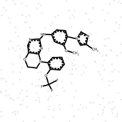 COc1cc(Nc2ncc3c(n2)N(c2ccccc2OC(F)(F)F)CCO3)ccc1-n1cnc(C)c1